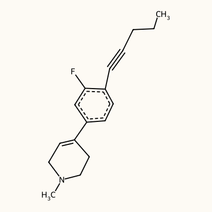 CCCC#Cc1ccc(C2=CCN(C)CC2)cc1F